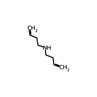 C=CCCNCCC=C